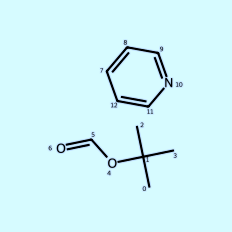 CC(C)(C)OC=O.c1ccncc1